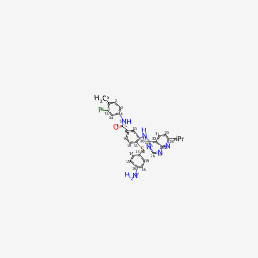 Cc1ccc(NC(=O)c2ccc(Sc3ccc(N)cc3)c(Nc3ncnc4nc(C(C)C)ccc34)c2)cc1F